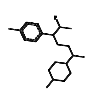 Cc1ccc(C(CCC(C)C2CCC(C)CC2)C(C)F)cc1